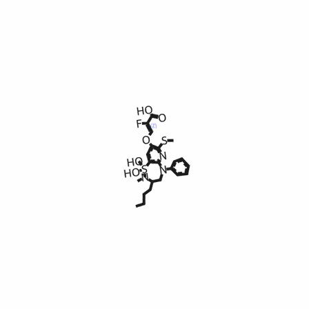 CCCCC1CN(c2ccccc2)c2nc(SC)c(O/C=C(\F)C(=O)O)cc2S(O)(O)N1C